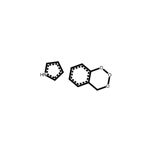 c1cc[nH]c1.c1ccc2c(c1)COOO2